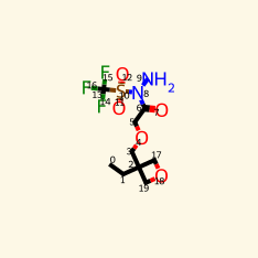 CCC1(COCC(=O)N(N)S(=O)(=O)C(F)(F)F)COC1